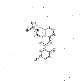 Cc1ccnc2c1/C(=N\NC(=N)N)C[C@@H](c1cc(F)ccc1Cl)C2